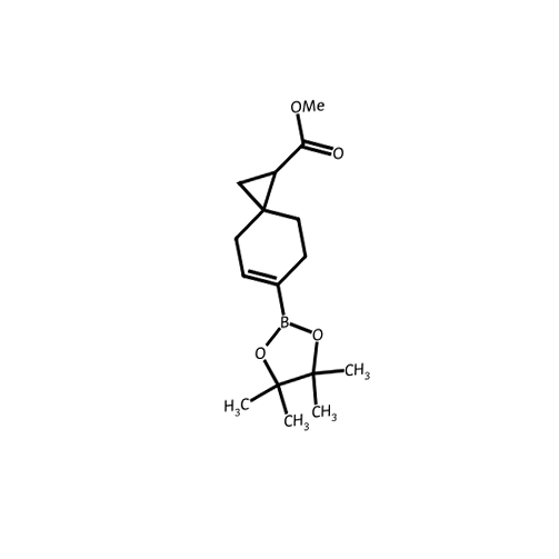 COC(=O)C1CC12CC=C(B1OC(C)(C)C(C)(C)O1)CC2